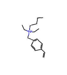 C=Cc1ccc(C[N+](CC)(CC)CCCC)cc1